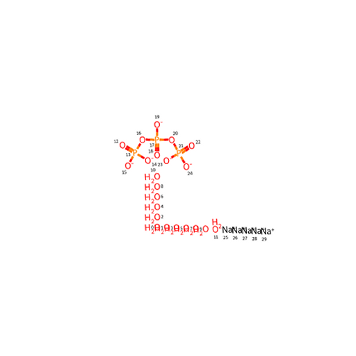 O.O.O.O.O.O.O.O.O.O.O.O.O=P([O-])([O-])OP(=O)([O-])OP(=O)([O-])[O-].[Na+].[Na+].[Na+].[Na+].[Na+]